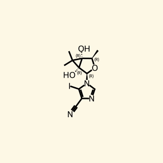 C[C@H]1O[C@@H](n2cnc(C#N)c2I)[C@@]2(O)C(C)(C)[C@@]12O